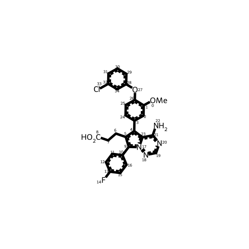 COc1cc(-c2c(CCC(=O)O)c(-c3ccc(F)cc3)n3ncnc(N)c23)ccc1Oc1cccc(Cl)c1